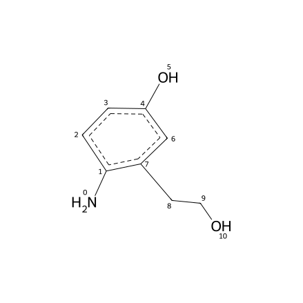 Nc1ccc(O)cc1CCO